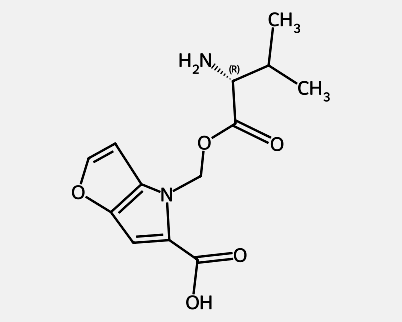 CC(C)[C@@H](N)C(=O)OCn1c(C(=O)O)cc2occc21